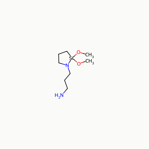 CO[Si]1(OC)CCCN1CCCN